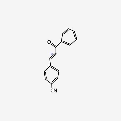 N#Cc1ccc(/C=C/C(=O)c2ccccc2)cc1